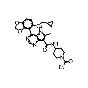 CCC(=O)N1CCC(NC(=O)c2c(C)[nH]c3c(-c4c(OCC5CC5)ccc5c4OCO5)ncnc23)CC1